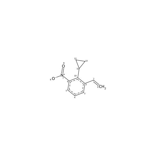 C=Cc1cccc([N+](=O)[O-])c1C1CC1